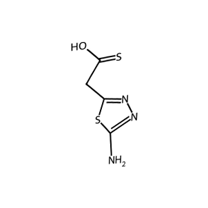 Nc1nnc(CC(O)=S)s1